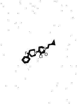 O=c1c(Cl)c(N2CCC(F)(c3ccccc3)CC2)ccn1CCC1CC1